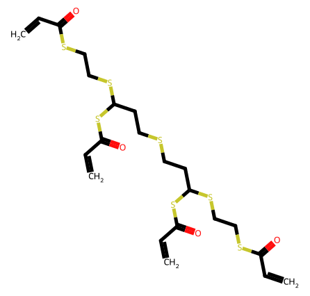 C=CC(=O)SCCSC(CCSCCC(SCCSC(=O)C=C)SC(=O)C=C)SC(=O)C=C